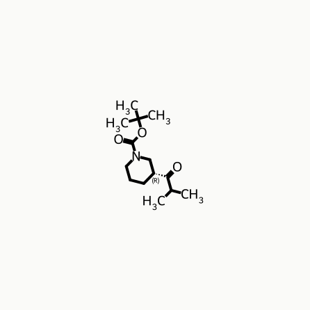 CC(C)C(=O)[C@@H]1CCCN(C(=O)OC(C)(C)C)C1